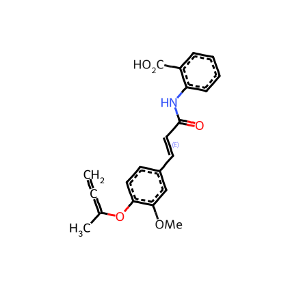 C=C=C(C)Oc1ccc(/C=C/C(=O)Nc2ccccc2C(=O)O)cc1OC